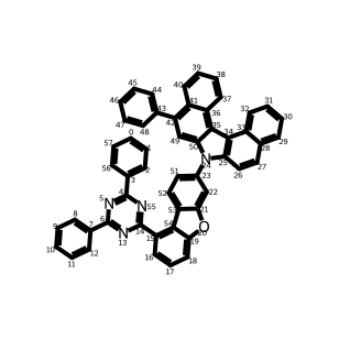 c1ccc(-c2nc(-c3ccccc3)nc(-c3cccc4oc5cc(-n6c7ccc8ccccc8c7c7c8ccccc8c(-c8ccccc8)cc76)ccc5c34)n2)cc1